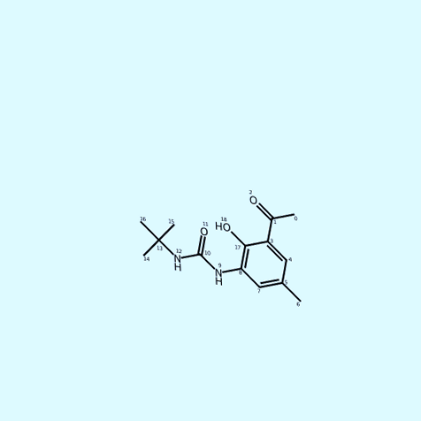 CC(=O)c1cc(C)cc(NC(=O)NC(C)(C)C)c1O